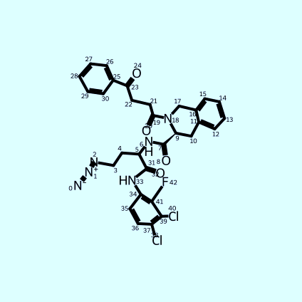 [N-]=[N+]=NCCC(NC(=O)[C@@H]1Cc2ccccc2CN1C(=O)CCC(=O)c1ccccc1)C(=O)Nc1ccc(Cl)c(Cl)c1F